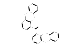 O=C(c1cccc2c1Oc1ccccc1N2)c1cccc2c1Oc1ccccc1N2